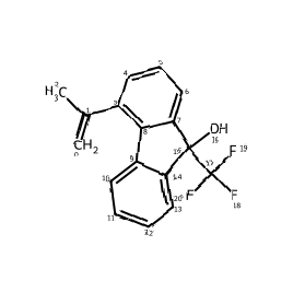 C=C(C)c1cccc2c1-c1ccccc1C2(O)C(F)(F)F